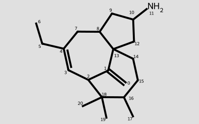 C=C1C2C=C(CC)CC3CC(N)CC13CCC(C)C2(C)C